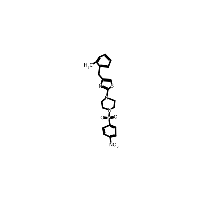 Cc1ccccc1Cc1csc(N2CCN(S(=O)(=O)c3ccc([N+](=O)[O-])cc3)CC2)n1